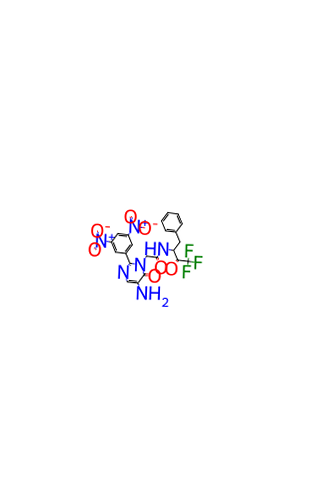 Nc1cnc(-c2cc([N+](=O)[O-])cc([N+](=O)[O-])c2)n(CC(=O)NC(Cc2ccccc2)C(=O)C(F)(F)F)c1=O